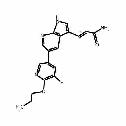 NC(=O)/C=C/c1c[nH]c2ncc(-c3cnc(OCCC(F)(F)F)c(F)c3)cc12